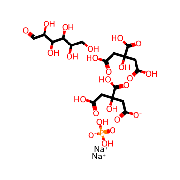 O=C(O)CC(O)(CC(=O)O)C(=O)O.O=C([O-])CC(O)(CC(=O)O)C(=O)O.O=CC(O)C(O)C(O)C(O)CO.O=P([O-])(O)O.[Na+].[Na+]